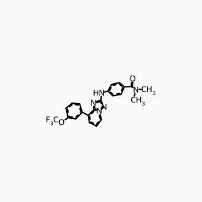 CN(C)C(=O)c1ccc(Nc2nc3c(-c4cccc(OC(F)(F)F)c4)cccn3n2)cc1